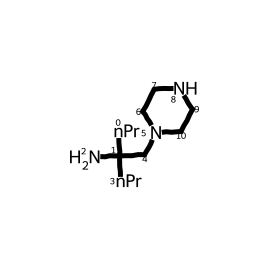 CCCC(N)(CCC)CN1CCNCC1